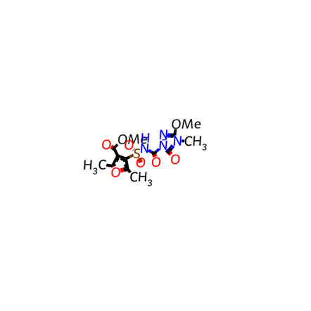 COC(=O)c1c(C)oc(C)c1S(=O)(=O)NC(=O)n1nc(OC)n(C)c1=O